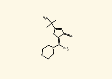 CC(C)(N)C1=CC(=N)/C(=C(\N)N2CCOCC2)S1